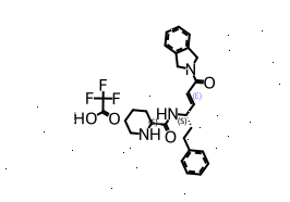 O=C(N[C@H](/C=C/C(=O)N1Cc2ccccc2C1)CCc1ccccc1)[C@@H]1CCCCN1.O=C(O)C(F)(F)F